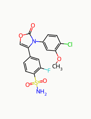 COc1cc(-n2c(-c3ccc(S(N)(=O)=O)c(F)c3)coc2=O)ccc1Cl